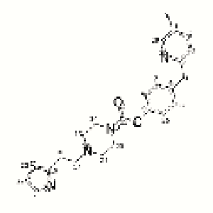 Cc1ccc(Cc2ccc(OC(=O)N3CCN(CCc4nccs4)CC3)cc2)nc1